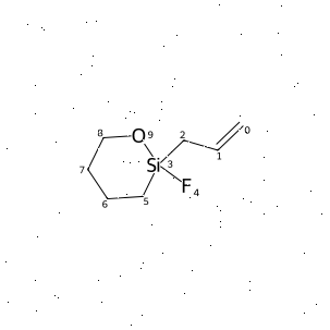 C=CC[Si]1(F)CCCCO1